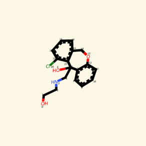 OCCNCC1(O)c2ccccc2OCc2cccc(Cl)c21